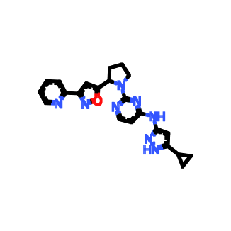 c1ccc(-c2cc(C3CCCN3c3nccc(Nc4cc(C5CC5)[nH]n4)n3)on2)nc1